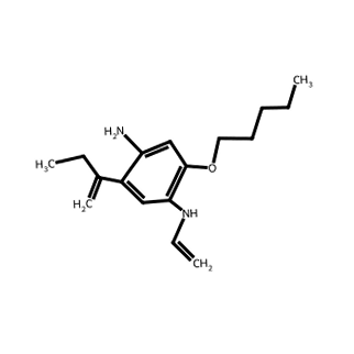 C=CNc1cc(C(=C)CC)c(N)cc1OCCCCC